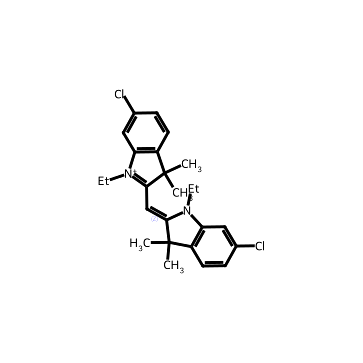 CCN1/C(=C\C2=[N+](CC)c3cc(Cl)ccc3C2(C)C)C(C)(C)c2ccc(Cl)cc21